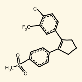 CS(=O)(=O)c1ccc(C2=C(c3ccc(Cl)c(C(F)(F)F)c3)CCC2)cc1